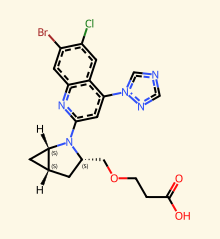 O=C(O)CCOC[C@@H]1C[C@@H]2C[C@@H]2N1c1cc(-n2cncn2)c2cc(Cl)c(Br)cc2n1